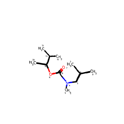 CC(C)CN(C)C(=O)OC(C)C(C)C